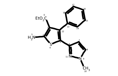 CCOC(=O)c1c(N)sc(-c2ccn(C)n2)c1-c1ccccc1